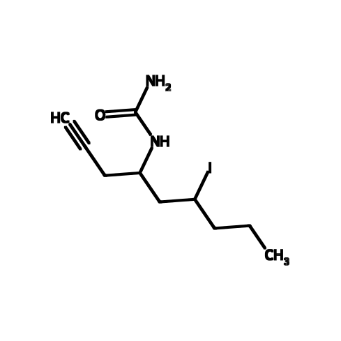 C#CCC(CC(I)CCC)NC(N)=O